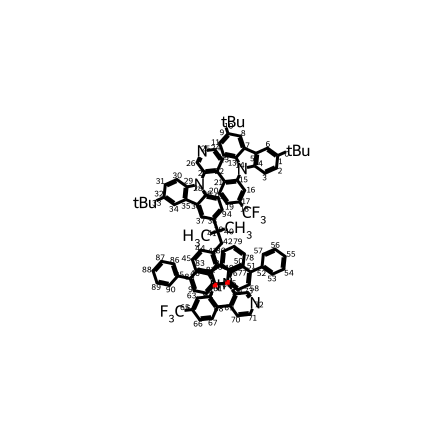 CC(C)(C)c1ccc2c(c1)c1cc(C(C)(C)C)ccc1n2-c1cc(C(F)(F)F)ccc1-c1ccncc1-n1c2ccc(C(C)(C)C)cc2c2cc(C(C)(C)Cc3cccc4c3c3cc(-c5ccccc5)ccc3n4-c3cc(C(F)(F)F)ccc3-c3ccncc3-n3c4ccccc4c4cc(-c5ccccc5)ccc43)ccc21